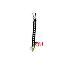 CC1C2C3C4C(C5C6C7C8C9C%10C%11C%12C%13C%14C%15C%16BC%16C%15C%14C%13C%12C%11C%10C9C8C7C6C54CO)C3S12C